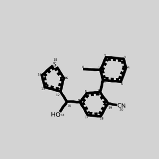 Cc1ccccc1-c1cc(C(O)c2ccsc2)ccc1C#N